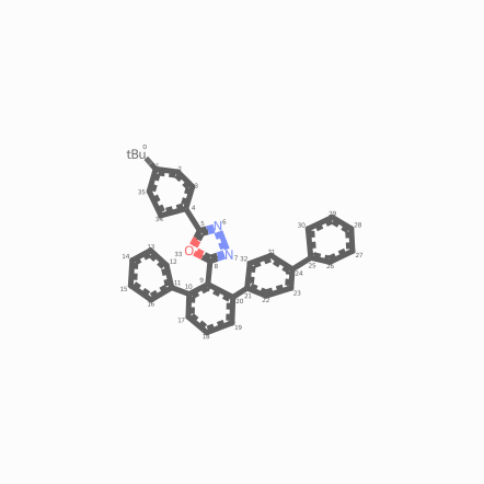 CC(C)(C)c1ccc(-c2nnc(-c3c(-c4ccccc4)cccc3-c3ccc(-c4ccccc4)cc3)o2)cc1